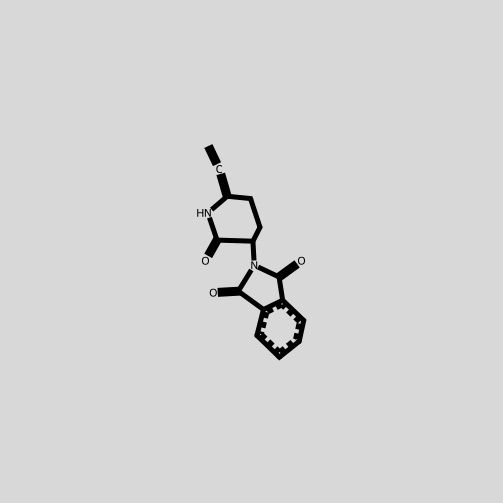 C=C=C1CCC(N2C(=O)c3ccccc3C2=O)C(=O)N1